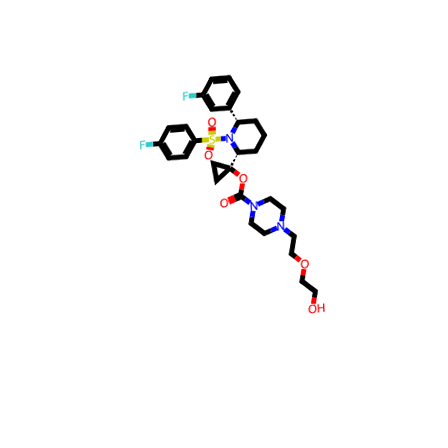 O=C(OC1([C@H]2CCC[C@@H](c3cccc(F)c3)N2S(=O)(=O)c2ccc(F)cc2)CC1)N1CCN(CCOCCO)CC1